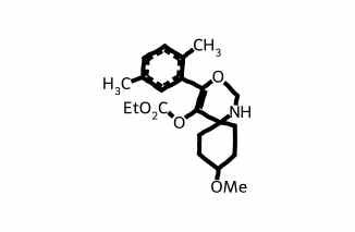 CCOC(=O)OC1=C(c2cc(C)ccc2C)OCNC12CCC(OC)CC2